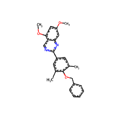 COc1cc(OC)c2cnc(-c3cc(C)c(OCc4ccccc4)c(C)c3)nc2c1